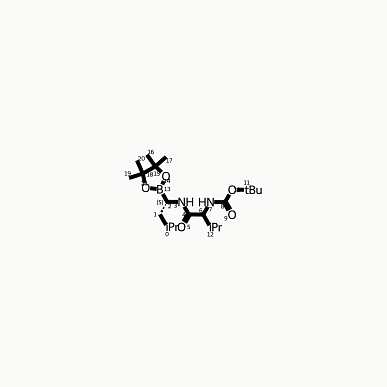 CC(C)C[C@@H](NC(=O)C(NC(=O)OC(C)(C)C)C(C)C)B1OC(C)(C)C(C)(C)O1